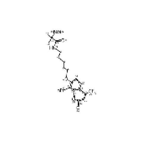 CCCc1c(OCCCCCNC(=O)C(C)(C)NC)ccc2c(C(F)(F)F)cc(=O)oc12